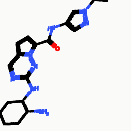 COCCn1cc(NC(=O)c2ccc3cnc(N[C@@H]4CCCC[C@@H]4N)nn23)cn1